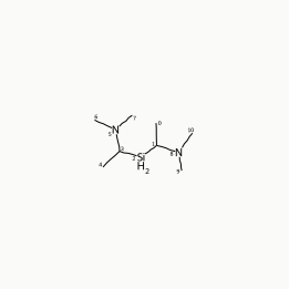 CC([SiH2]C(C)N(C)C)N(C)C